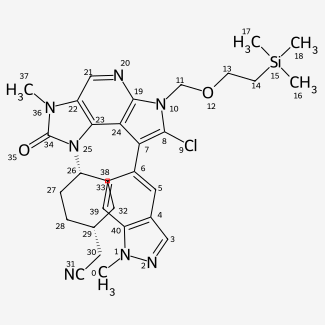 Cn1ncc2cc(-c3c(Cl)n(COCC[Si](C)(C)C)c4ncc5c(c34)n([C@H]3CC[C@@H](CC#N)CC3)c(=O)n5C)ccc21